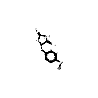 CCOc1ccc(C[C@@H]2SC(=O)NC2=O)cc1